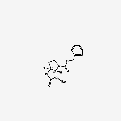 CO[C@H]1C(=O)N[C@H]2CCN(C(=O)OCc3ccccc3)[C@@H]21